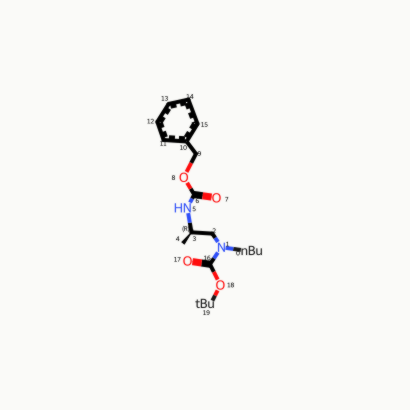 CCCCN(C[C@@H](C)NC(=O)OCc1ccccc1)C(=O)OC(C)(C)C